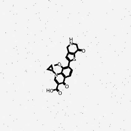 COc1c(-c2cc3c(s2)C(=O)CNC3)ccc2c(=O)c(C(=O)O)cn(C3CC3)c12